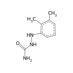 Cc1cccc(NNC(N)=O)c1C